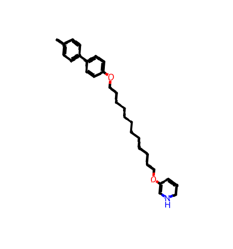 Cc1ccc(-c2ccc(OCCCCCCCCCCCCOC3=CNCC=C3)cc2)cc1